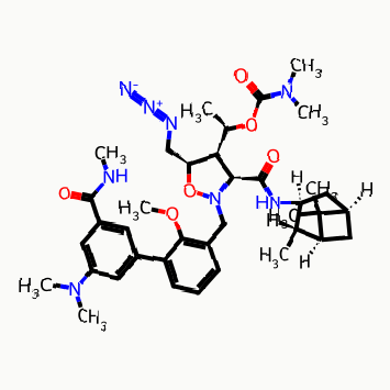 CNC(=O)c1cc(-c2cccc(CN3O[C@@H](CN=[N+]=[N-])[C@@H]([C@@H](C)OC(=O)N(C)C)[C@H]3C(=O)N[C@H]3C[C@H]4C[C@@H]([C@@H]3C)C4(C)C)c2OC)cc(N(C)C)c1